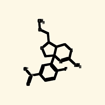 COCC1OCC2(c3cc([N+](=O)[O-])ccc3F)N=C(N)SCC12